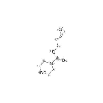 O=C(OCC=CC(F)(F)F)N1CCNCC1